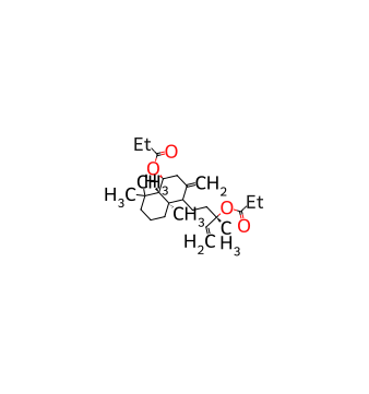 C=C[C@](C)(CCC1C(=C)C[C@H](OC(=O)CC)[C@H]2C(C)(C)CCC[C@]12C)OC(=O)CC